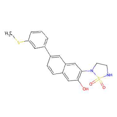 CSc1cccc(-c2ccc3cc(O)c(N4CCNS4(=O)=O)cc3c2)c1